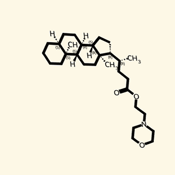 C[C@H](CCC(=O)OCCN1CCOCC1)[C@H]1CC[C@H]2[C@@H]3CC[C@@H]4CCCC[C@]4(C)[C@H]3CC[C@]12C